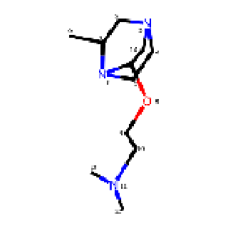 CC1CN2CCN1C(OCCN(C)C)C2